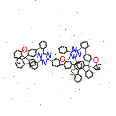 c1ccc(-c2nc(-c3ccc4c(c3)oc3cc(-c5ccc6c(c5)-c5ccccc5C65c6ccccc6Oc6cc(-c7ccccc7-c7nc(-c8ccccc8)nc(-c8ccc9c(c8)sc8ccccc89)n7)ccc65)ccc34)nc(-c3ccccc3-c3ccc4c(c3)Oc3ccccc3C43c4ccccc4-c4ccccc43)n2)cc1